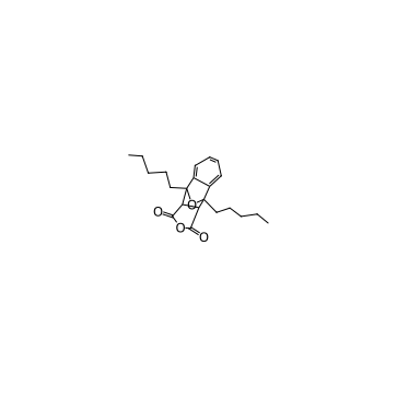 CCCCCC12OC(CCCCC)(c3ccccc31)C1C(=O)OC(=O)C12